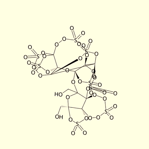 O=S1(=O)OO[C@]23OS(=O)(=O)OO[C@@]45OS(=O)(=O)O[C@]46OOS(=O)(=O)OC47OOS(=O)(=O)OO[C@]58OS(=O)(=O)O[C@@]8(OC2(CO)O[C@]2(CO)OS(=O)(=O)O[C@]23OO1)O[C@]46OS(=O)(=O)O7